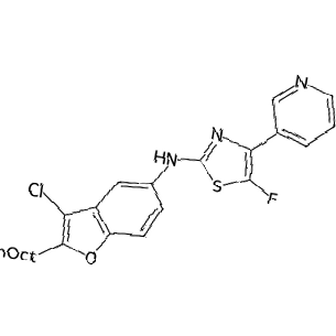 CCCCCCCCc1oc2ccc(Nc3nc(-c4cccnc4)c(F)s3)cc2c1Cl